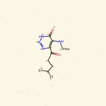 CCCCCCNc1c(C(=O)CCC(CC)CC)nn[nH]c1=O